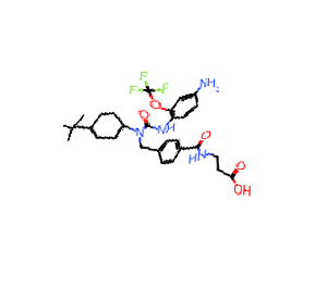 CC(C)(C)C1CCC(N(Cc2ccc(C(=O)NCCC(=O)O)cc2)C(=O)Nc2ccc(N)cc2OC(F)(F)F)CC1